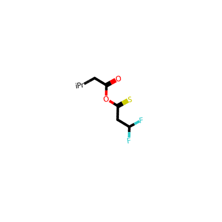 CC(C)CC(=O)OC(=S)CC(F)F